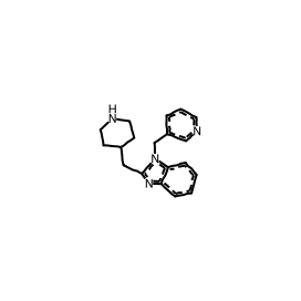 c1cncc(Cn2c(CC3CCNCC3)nc3ccccc32)c1